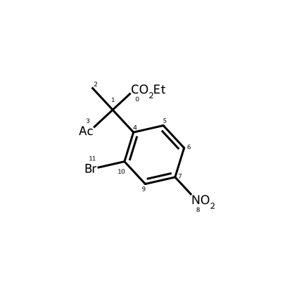 CCOC(=O)C(C)(C(C)=O)c1ccc([N+](=O)[O-])cc1Br